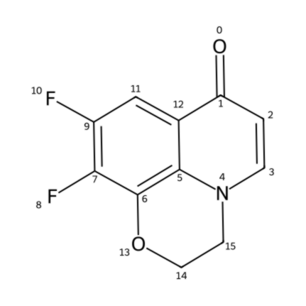 O=c1ccn2c3c(c(F)c(F)cc13)OCC2